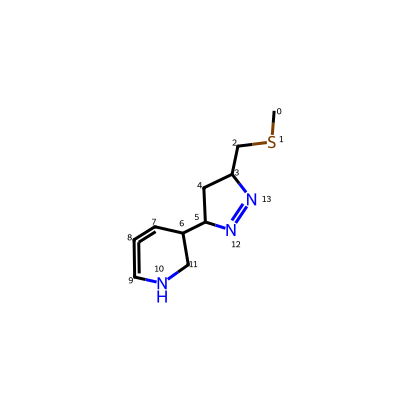 CSCC1CC(C2C=C=CNC2)N=N1